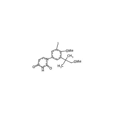 COCC(C)(C)c1cc(-n2ccc(=O)[nH]c2=O)cc(I)c1OC